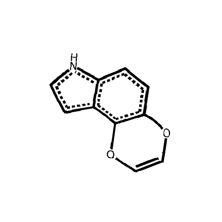 C1=COc2c(ccc3[nH]ccc23)O1